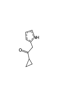 O=C(Cc1ccc[nH]1)C1CC1